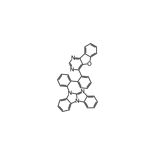 c1ccc(-c2ncnc3c2oc2ccccc23)c(-c2ccccc2-n2c3ccccc3n3c4ccccc4nc23)c1